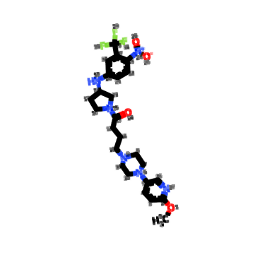 COc1ccc(N2CCN(CCCC(=O)N3CC[C@@H](Nc4ccc([N+](=O)[O-])c(C(F)(F)F)c4)C3)CC2)cn1